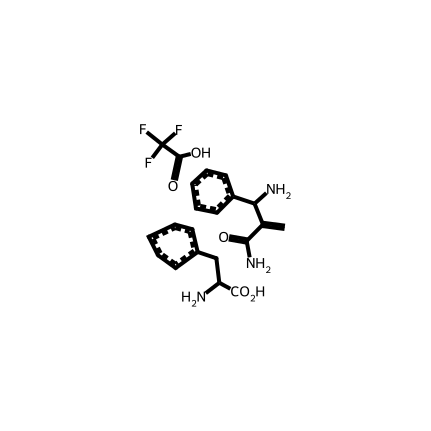 C=C(C(N)=O)C(N)c1ccccc1.NC(Cc1ccccc1)C(=O)O.O=C(O)C(F)(F)F